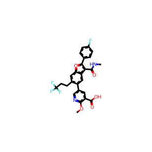 CNC(=O)c1c(-c2ccc(F)cc2)oc2cc(CCC(F)(F)F)c(-c3cnc(OC)c(C(=O)O)c3)cc12